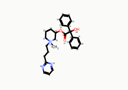 C[N+]1(CCCc2ncccn2)CCCC(OC(=O)C(O)(c2ccccc2)c2ccccc2)C1